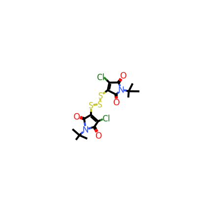 CC(C)(C)N1C(=O)C(Cl)=C(SSSC2=C(Cl)C(=O)N(C(C)(C)C)C2=O)C1=O